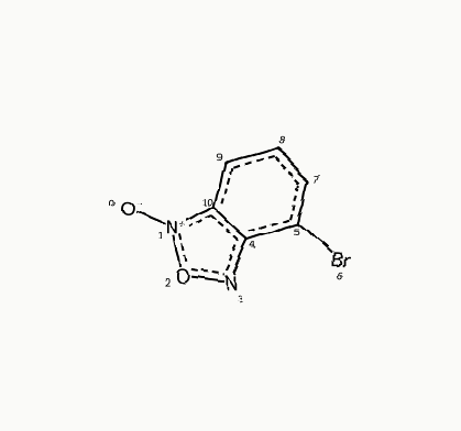 [O-][n+]1onc2c(Br)cccc21